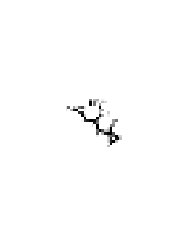 SOC[C@H](CC1(I)CC1)OS